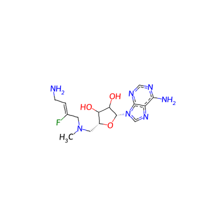 CN(CC(F)=CCN)C[C@H]1O[C@@H](n2cnc3c(N)ncnc32)C(O)C1O